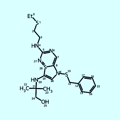 CCSCCNC1=NC=C2N(SCc3ccccc3)C=C(NC(C)(C)CO)S2=N1